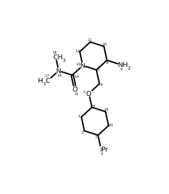 CC(C)C1CCC(OCC2C(N)CCCN2C(=O)N(C)C)CC1